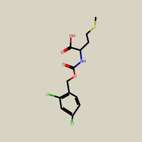 CSCCC(NC(=O)OCc1ccc(Cl)cc1Cl)C(=O)O